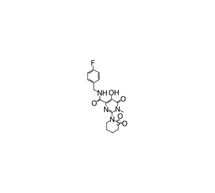 Cn1c(N2CCCCS2(=O)=O)nc(C(=O)NCc2ccc(F)cc2)c(O)c1=O